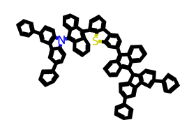 c1ccc(-c2ccc3c(c2)-c2cc(-c4ccccc4)ccc2C3c2c3ccccc3c(-c3ccc4c(c3)sc3c(-c5c6ccccc6c(-n6c7ccc(-c8ccccc8)cc7c7cc(-c8ccccc8)ccc76)c6ccccc56)cccc34)c3ccccc23)cc1